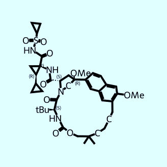 COc1cc2ccc3cc2cc1CCCCC(C)(C)COC(=O)N[C@@H](C(C)(C)C)C(=O)N1C[C@@]3(OC)C[C@H]1C(=O)N[C@]1(C(=O)NS(=O)(=O)C2CC2)C[C@@H]1C1CC1